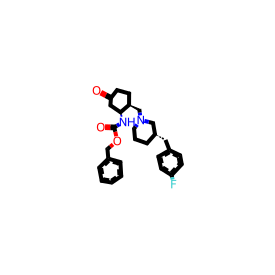 O=C1CC[C@@H](CN2CCC[C@@H](Cc3ccc(F)cc3)C2)[C@H](NC(=O)OCc2ccccc2)C1